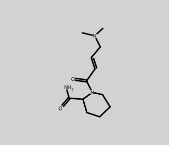 CN(C)CC=CC(=O)N1CCCCC1C(N)=O